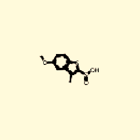 COc1ccc2sc(S(=O)O)c(C)c2c1